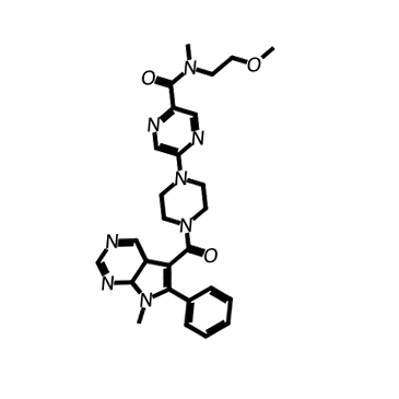 COCCN(C)C(=O)c1cnc(N2CCN(C(=O)C3=C(c4ccccc4)N(C)C4N=CN=CC34)CC2)cn1